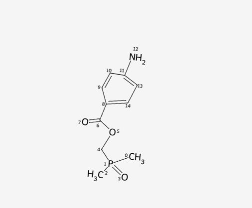 CP(C)(=O)COC(=O)c1ccc(N)cc1